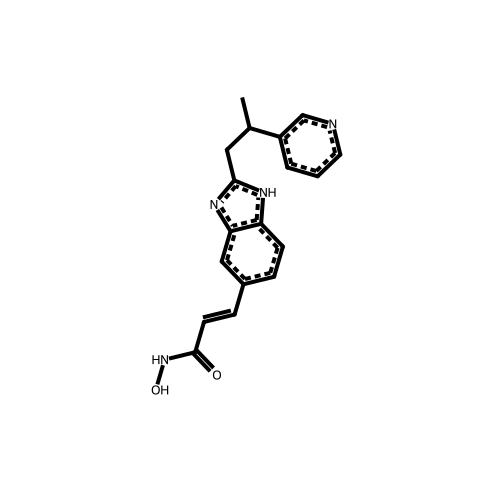 CC(Cc1nc2cc(C=CC(=O)NO)ccc2[nH]1)c1cccnc1